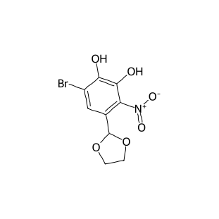 O=[N+]([O-])c1c(C2OCCO2)cc(Br)c(O)c1O